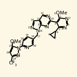 COc1ncnc(C2CC2)c1-c1ncc2cnn(Cc3ccc(-n4nc(C(F)(F)F)cc4OC)nc3)c2n1